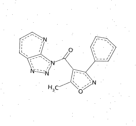 Cc1onc(-c2ccccc2)c1C(=O)n1nnc2cccnc21